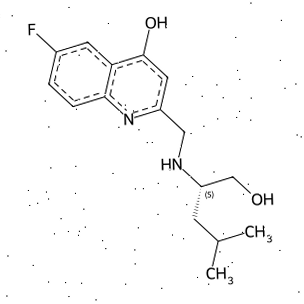 CC(C)C[C@@H](CO)NCc1cc(O)c2cc(F)ccc2n1